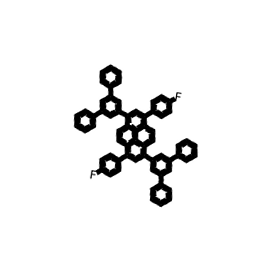 Fc1ccc(-c2cc(-c3cc(-c4ccccc4)cc(-c4ccccc4)c3)c3ccc4c(-c5ccc(F)cc5)cc(-c5cc(-c6ccccc6)cc(-c6ccccc6)c5)c5ccc2c3c45)cc1